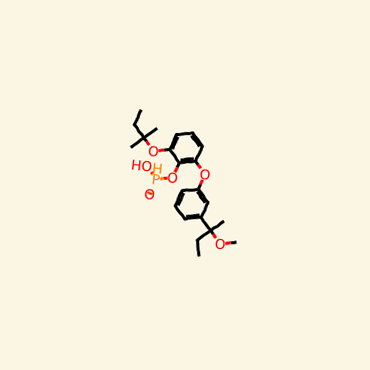 CCC(C)(C)Oc1cccc(Oc2cccc(C(C)(CC)OC)c2)c1O[PH](=O)O